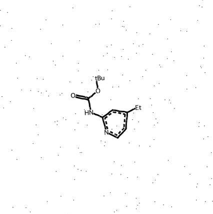 CCc1ccnc(NC(=O)OC(C)(C)C)c1